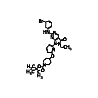 CCn1c(=O)c2cnc(Nc3cccc(Br)c3)nc2n1-c1cccc(OC2CCN(C(=O)OC(C)(C)C)CC2)n1